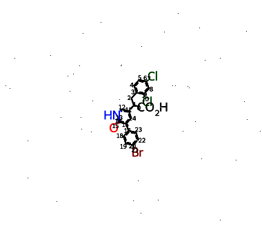 O=C(O)C(Cc1ccc(Cl)cc1Cl)c1c[nH]c(=O)c(-c2ccc(Br)cc2)c1